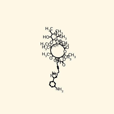 CCO[C@@H](O[C@@H]1[C@@H](C)C(=O)[C@](C)(F)C(=O)O[C@H](CC)[C@@]2(C)OC(=O)N(CC#CCn3cc(-c4cccc(N)c4)nn3)[C@@H]2[C@@H](C)C(=O)[C@H](C)C[C@@]1(C)OC)C(O)C(CC)N(C)C